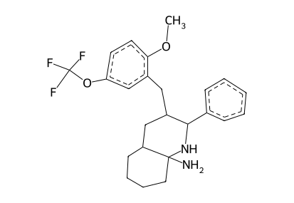 COc1ccc(OC(F)(F)F)cc1CC1CC2CCCCC2(N)NC1c1ccccc1